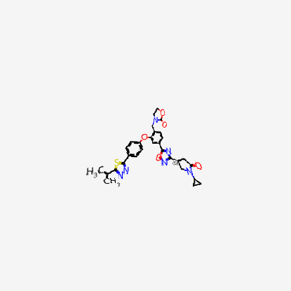 CC(C)c1nnc(-c2ccc(Oc3cc(-c4nc([C@H]5CC(=O)N(C6CC6)C5)no4)ccc3CN3CCOC3=O)cc2)s1